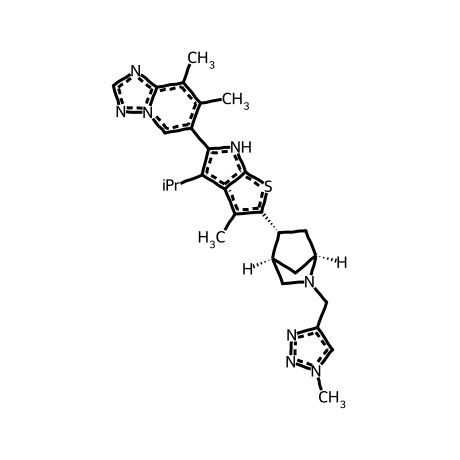 Cc1c(-c2[nH]c3sc([C@@H]4C[C@@H]5C[C@H]4CN5Cc4cn(C)nn4)c(C)c3c2C(C)C)cn2ncnc2c1C